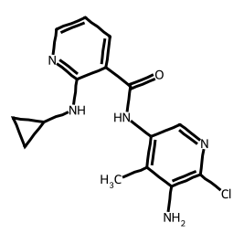 Cc1c(NC(=O)c2cccnc2NC2CC2)cnc(Cl)c1N